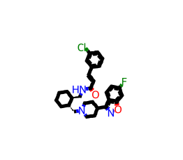 O=C(/C=C/c1cccc(Cl)c1)NC[C@@H]1CCCC[C@H]1CN1CCC(c2noc3cc(F)ccc23)CC1